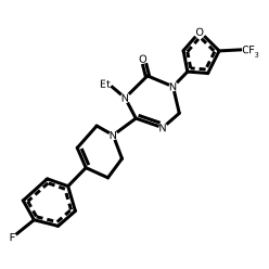 CCN1C(=O)N(c2coc(C(F)(F)F)c2)CN=C1N1CC=C(c2ccc(F)cc2)CC1